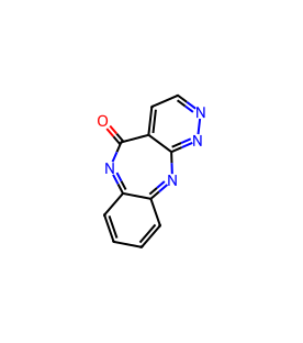 O=c1nc2ccccc2nc2nnccc12